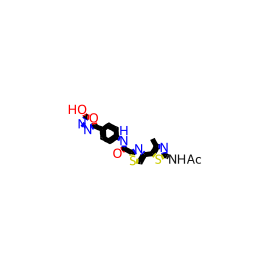 CC(=O)Nc1nc(C)c(-c2csc(C(=O)Nc3ccc(-c4nnc(O)o4)cc3)n2)s1